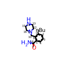 CCCCc1cccc(C(N)=O)c1CN1CCNCC1